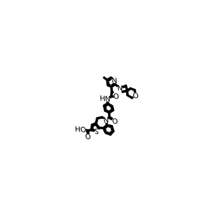 Cc1cnc(N2CC3(CCOCC3)C2)c(C2OC2Nc2ccc(C(=O)N3CCc4cc(C(=O)O)sc4-c4ccccc43)cc2)c1